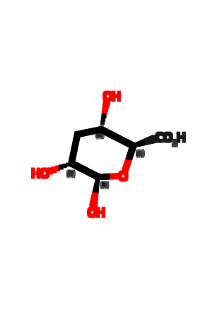 O=C(O)[C@H]1O[C@@H](O)[C@H](O)C[C@@H]1O